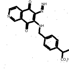 CC(C(=O)O)c1ccc(CNC2=C(N=N)C(=O)c3ccncc3C2=O)cc1